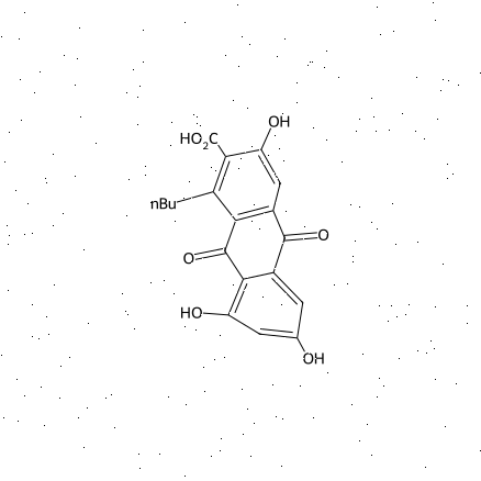 CCCCc1c(C(=O)O)c(O)cc2c1C(=O)c1c(O)cc(O)cc1C2=O